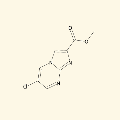 COC(=O)c1cn2cc(Cl)cnc2n1